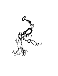 NC(=O)[C@@H](CCCNC(N)=N[N+](=O)[O-])N(CCc1ccc(O)cc1)C(=O)c1cc2cc(OCCc3ccccc3)ccc2[nH]1